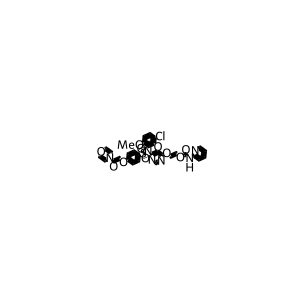 COc1ccc(Cl)c(Oc2c(NS(=O)(=O)c3ccc(OCC(=O)N4CCOCC4)cc3)ncnc2OCCOC(=O)Nc2ccccn2)c1